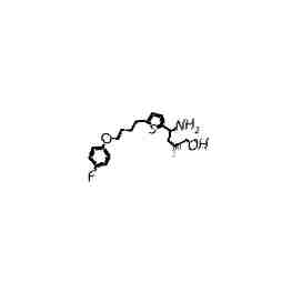 C[C@@H](CO)CC(N)c1ccc(CCCCOc2ccc(F)cc2)s1